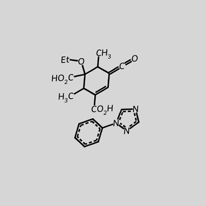 CCOC1(C(=O)O)C(C)C(=C=O)C=C(C(=O)O)C1C.c1ccc(-n2cncn2)cc1